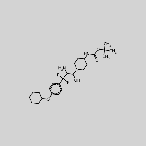 CC(C)(C)OC(=O)NC1CCN(C(O)C(N)C(F)(F)c2ccc(OC3CCCCC3)cc2)CC1